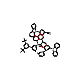 CC(C)(C)c1cc(-c2cc(Oc3cccc(-c4cc(-n5c6ccccc6c6ccccc65)ccc4C#N)c3)cc(N(c3cccc(-c4cc(C#N)ccc4-n4c5ccccc5c5ccccc54)c3)c3ccccc3-c3ccccc3)c2)cc(C(C)(C)C)c1